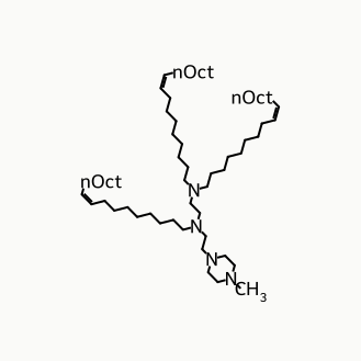 CCCCCCCC/C=C\CCCCCCCCN(CCCCCCCC/C=C\CCCCCCCC)CCN(CCCCCCCC/C=C\CCCCCCCC)CCN1CCN(C)CC1